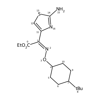 CCOC(=O)/C(=N\OC1CCC(C(C)(C)C)CC1)c1csc(N)n1